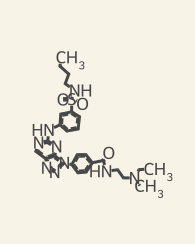 CCCCNS(=O)(=O)c1cccc(Nc2ncc3nnn(-c4ccc(C(=O)NCCN(C)CC)cc4)c3n2)c1